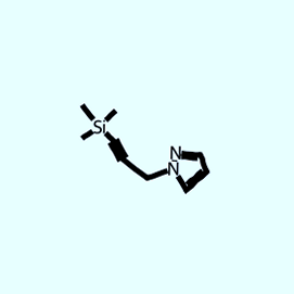 C[Si](C)(C)C#CCn1cccn1